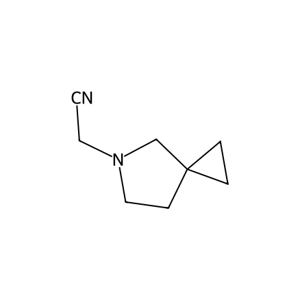 N#CCN1CCC2(CC2)C1